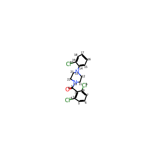 O=C(c1c(Cl)cccc1Cl)N1CCN(c2ccccc2Cl)CC1